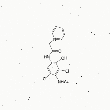 CC(=O)Nc1c(Cl)cc(NC(=O)C[n+]2ccccc2)c(O)c1Cl